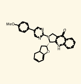 COc1ccc(-c2cnc(N3Cc4c([nH]c5ccccc5c4=O)[C@@H]3C3CC4CC=CC=C4O3)nc2)cc1